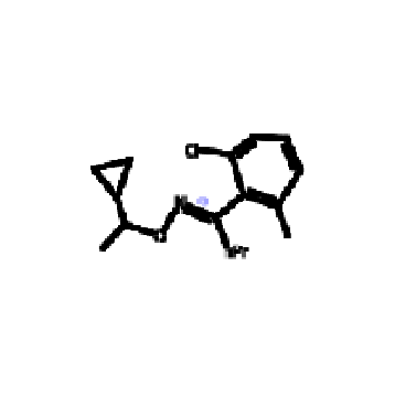 CCC/C(=N\OC(C)C1CC1)c1c(C)cccc1Cl